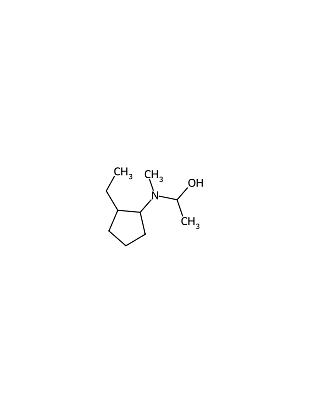 CCC1CCCC1N(C)C(C)O